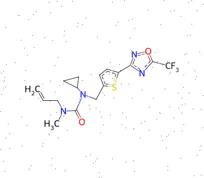 C=CCN(C)C(=O)N(Cc1ccc(-c2noc(C(F)(F)F)n2)s1)C1CC1